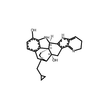 Oc1ccc2c3c1N[C@H]1c4[nH]c5c(c4C[C@@]4(O)C(C2)N(CC2CC2)CC[C@]314)=NCCC=5